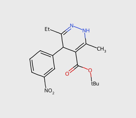 CCC1=NNC(C)=C(C(=O)OC(C)(C)C)C1c1cccc([N+](=O)[O-])c1